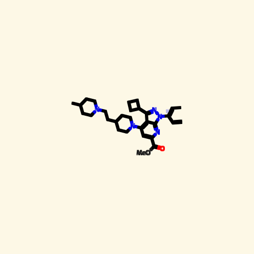 C=C/C(=C\C)n1nc(C2CCC2)c2c(N3CCC(CCN4CCC(C)CC4)CC3)cc(C(=O)OC)nc21